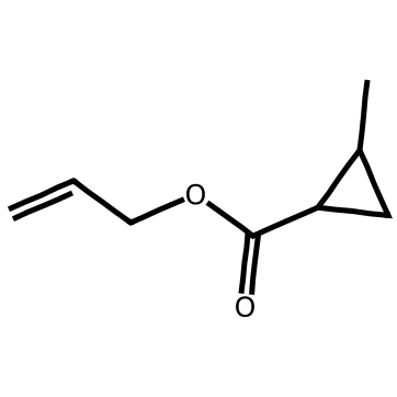 C=CCOC(=O)C1CC1C